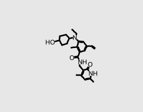 C=Cc1cc(C(=O)NCc2c(C)cc(C)[nH]c2=O)c(C)c(N(CC)C2CCC(O)CC2)c1